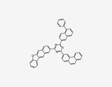 c1ccc(-c2cccc3cc(-c4nc(-c5ccc6cc7oc8ccccc8c7cc6c5)nc(-c5ccc6ccc7ccccc7c6c5)n4)ccc23)cc1